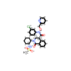 CS(=O)(=O)N[C@@H]1CCCC[C@H]1N1C(=O)c2ccccc2[C@H](C(=O)NOCc2ccccn2)[C@H]1c1ccc(Cl)cc1